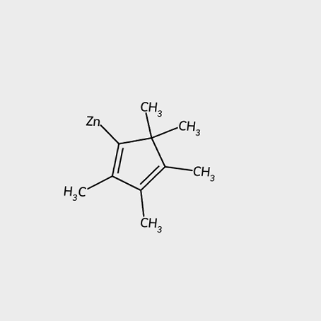 CC1=C(C)C(C)(C)[C]([Zn])=C1C